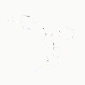 C[C@H](NC(=O)C(C)(C)Oc1ccc(C(F)(F)F)cn1)C(Cc1ccc(Cl)cc1)(OS(C)(=O)=O)c1cccc(C#N)c1